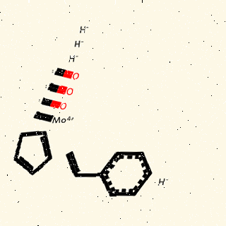 C1=CCC=C1.C=Cc1ccccc1.[CH2]=[Mo+4].[C]=O.[C]=O.[C]=O.[H-].[H-].[H-].[H-]